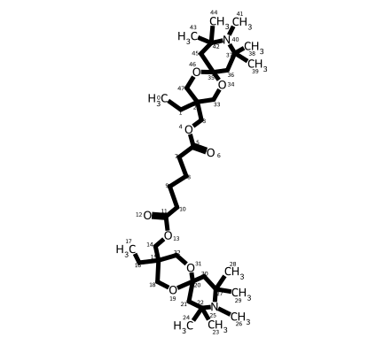 CCC1(COC(=O)CCCCC(=O)OCC2(CC)COC3(CC(C)(C)N(C)C(C)(C)C3)OC2)COC2(CC(C)(C)N(C)C(C)(C)C2)OC1